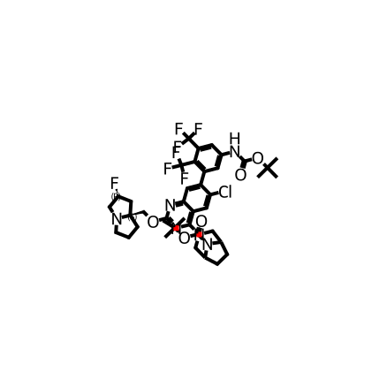 CC(C)(C)OC(=O)Nc1cc(-c2cc3nc(OC[C@@]45CCCN4C[C@H](F)C5)nc(N4CC5CCC(C4)N5C(=O)OC(C)(C)C)c3cc2Cl)c(C(F)(F)F)c(C(F)(F)F)c1